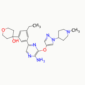 CCc1cc(-c2cnc(N)c(Oc3cnn(C4CCN(C)CC4)c3)n2)cc(C2(O)CCOCC2)c1